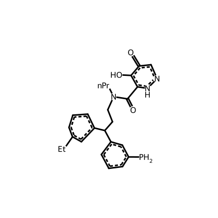 CCCN(CCC(c1cccc(P)c1)c1cccc(CC)c1)C(=O)c1[nH]ncc(=O)c1O